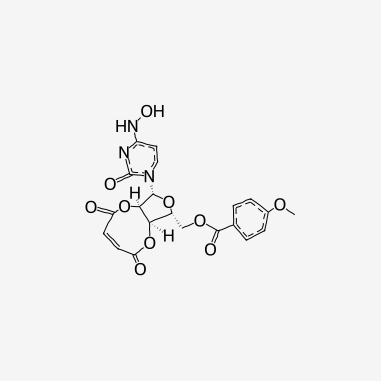 COc1ccc(C(=O)OC[C@H]2O[C@@H](n3ccc(NO)nc3=O)[C@@H]3OC(=O)/C=C\C(=O)O[C@@H]32)cc1